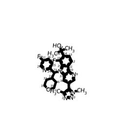 Cc1nnn(C)c1-c1cnc2c3ccc(C(C)(C)O)c(F)c3n(C(c3ccc(F)cn3)C3CCOCC3)c2c1